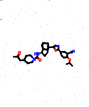 CC(=O)CC1CCN(C(=O)N[C@@H]2CCc3c(-c4cnc(-c5ccc(OC(C)C)c(C#N)c5)s4)cccc32)CC1